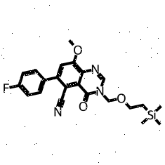 COc1cc(-c2ccc(F)cc2)c(C#N)c2c(=O)n(COCC[Si](C)(C)C)cnc12